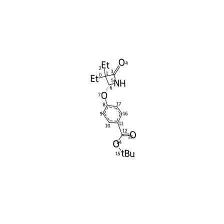 CCC1(CC)C(=O)N[C@@H]1Oc1ccc(C(=O)OC(C)(C)C)cc1